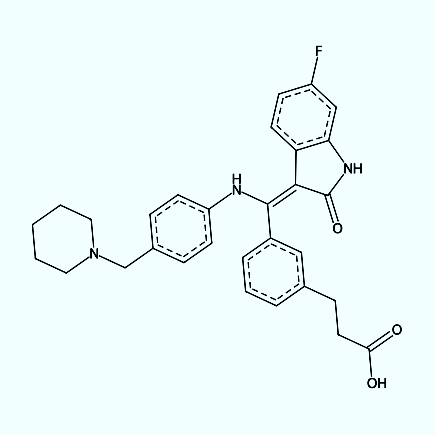 O=C(O)CCc1cccc(C(Nc2ccc(CN3CCCCC3)cc2)=C2C(=O)Nc3cc(F)ccc32)c1